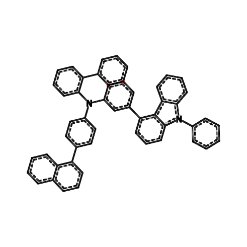 c1ccc(-c2ccccc2N(c2ccc(-c3cccc4ccccc34)cc2)c2cccc(-c3cccc4c3c3ccccc3n4-c3ccccc3)c2)cc1